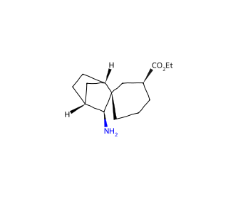 CCOC(=O)[C@H]1CCC[C@]2(C1)[C@H]1CC[C@H](C1)[C@@H]2N